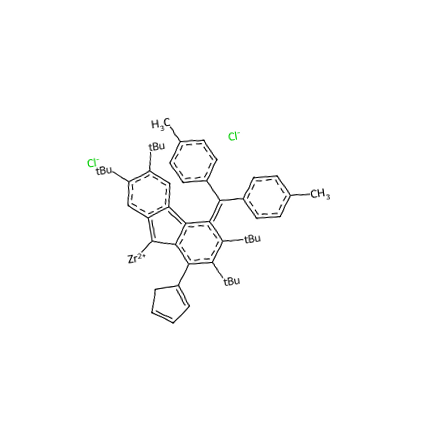 Cc1ccc(C(c2ccc(C)cc2)=c2c(C(C)(C)C)c(C(C)(C)C)c(C3=CC=CC3)c3c2=c2cc(C(C)(C)C)c(C(C)(C)C)cc2=[C]3[Zr+2])cc1.[Cl-].[Cl-]